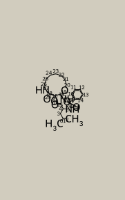 CC(C)CC(NS(=O)(=O)c1ccccc1)C(=O)NC1OCCCCCCCNC(=O)C1=O